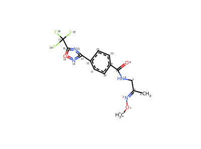 CON=C(C)CNC(=O)c1ccc(-c2noc(C(F)(F)F)n2)cc1